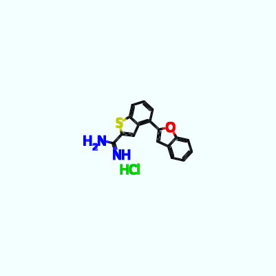 Cl.N=C(N)c1cc2c(-c3cc4ccccc4o3)cccc2s1